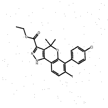 CCOC(=O)c1n[nH]c2c1C(C)(C)Oc1c-2ccc(I)c1-c1ccc(Cl)cc1